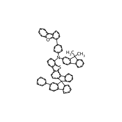 CC1(C)c2ccccc2-c2ccc(N(c3ccc(-c4cccc5c4oc4ccccc45)cc3)c3cccc4c3sc3c5c(ccc34)C3(c4ccccc4-c4ccc(-c6ccccc6)cc43)c3ccccc3-5)cc21